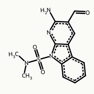 CN(C)S(=O)(=O)n1c2ccccc2c2cc(C=O)c(N)nc21